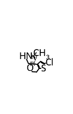 C[C@H]1C[C@@]2(CCN1)OCCc1sc(Cl)cc12